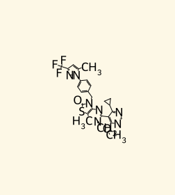 C=N/C(=N\c1c(C)sc(=O)n1Cc1ccc(-n2nc(C(F)(F)F)cc2C)cc1)c1c(OC)ncnc1C1CC1